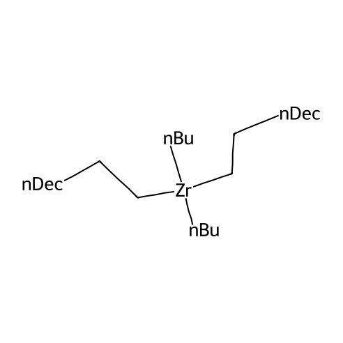 CCCCCCCCCCC[CH2][Zr]([CH2]CCC)([CH2]CCC)[CH2]CCCCCCCCCCC